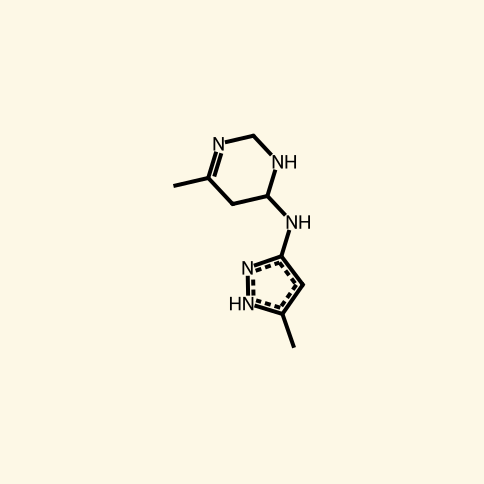 CC1=NCNC(Nc2cc(C)[nH]n2)C1